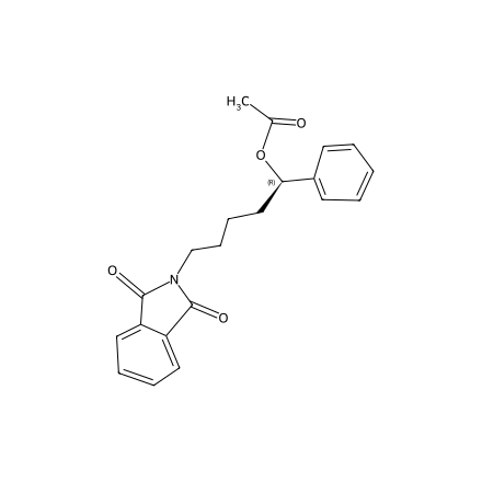 CC(=O)O[C@H](CCCCN1C(=O)c2ccccc2C1=O)c1ccccc1